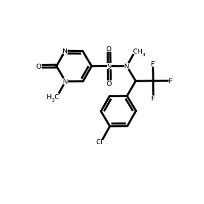 CN(C(c1ccc(Cl)cc1)C(F)(F)F)S(=O)(=O)c1cnc(=O)n(C)c1